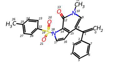 C=C(c1ccccc1)c1cn(C)c(=O)c2c1ccn2S(=O)(=O)c1ccc(C)cc1